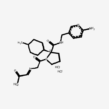 CC1CCC([C@@]2(C(=O)NCc3ccc(N)nc3)CCCN2C(=O)CN=CC(=O)O)CC1.Cl.Cl